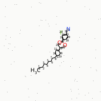 CCCCCCCCCC1CCC(C2COC(c3ccc(C#N)c(F)c3)OC2)CC1